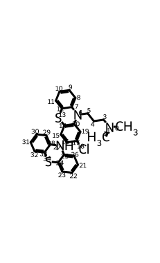 CN(C)CCCN1c2ccccc2Sc2ccc(Cl)cc21.c1ccc2c(c1)Nc1ccccc1S2